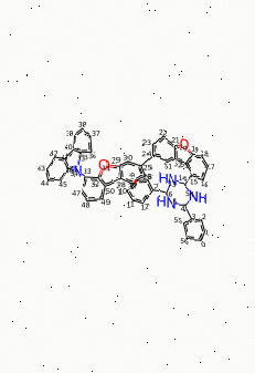 c1ccc(C2NC(c3ccccc3)NC(c3cccc4oc5ccc(-c6ccc7c(c6)oc6c(-n8c9ccccc9c9ccccc98)cccc67)cc5c34)N2)cc1